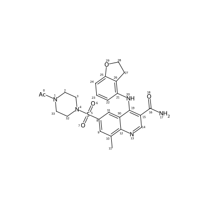 CC(=O)N1CCN(S(=O)(=O)c2cc(C)c3ncc(C(N)=O)c(Nc4cccc5c4CCO5)c3c2)CC1